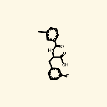 Cc1cccc(C(=O)NC(Cc2cccc(F)c2)C(=O)O)c1